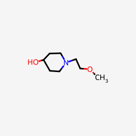 COCCN1CCC(O)CC1